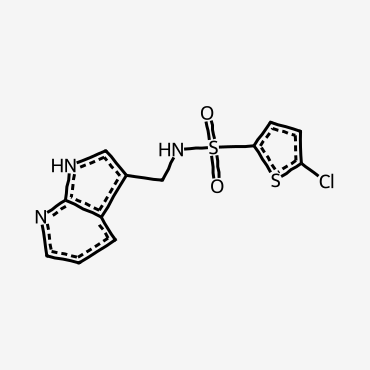 O=S(=O)(NCc1c[nH]c2ncccc12)c1ccc(Cl)s1